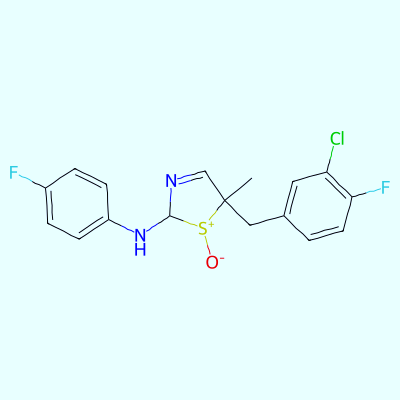 CC1(Cc2ccc(F)c(Cl)c2)C=NC(Nc2ccc(F)cc2)[S+]1[O-]